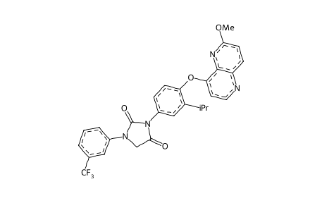 COc1ccc2nccc(Oc3ccc(N4C(=O)CN(c5cccc(C(F)(F)F)c5)C4=O)cc3C(C)C)c2n1